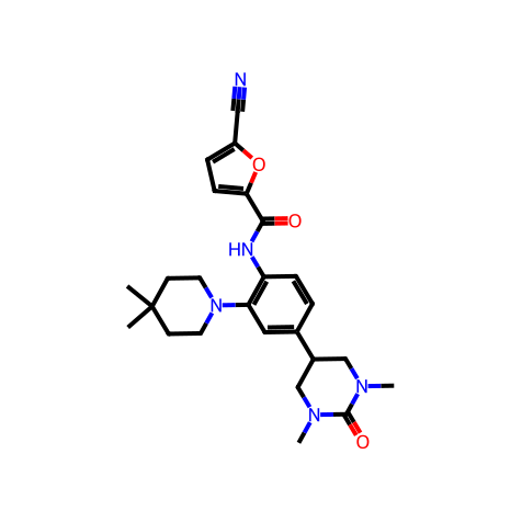 CN1CC(c2ccc(NC(=O)c3ccc(C#N)o3)c(N3CCC(C)(C)CC3)c2)CN(C)C1=O